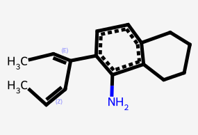 C/C=C\C(=C/C)c1ccc2c(c1N)CCCC2